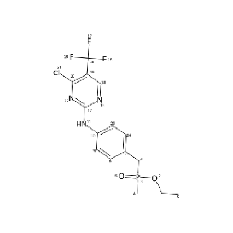 CCOP(C)(=O)Cc1ccc(Nc2ncc(C(F)(F)F)c(Cl)n2)cc1